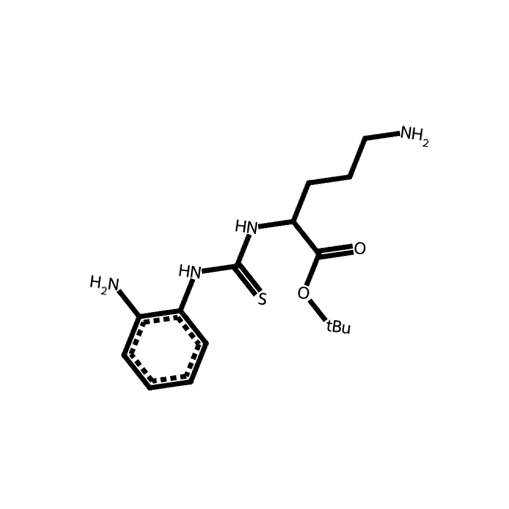 CC(C)(C)OC(=O)C(CCCN)NC(=S)Nc1ccccc1N